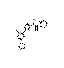 Cn1nc(C2CC=CO2)cc1-c1ccc(C(=O)Nc2ccccc2F)s1